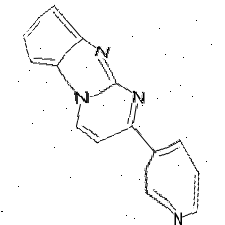 c1cncc(-c2ccn3c(n2)nc2ccccc23)c1